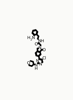 Nc1ccccc1CCNC(=O)CN1Cc2ccc(-c3nc(NC4CCOCC4)ncc3Cl)cc2C1=O